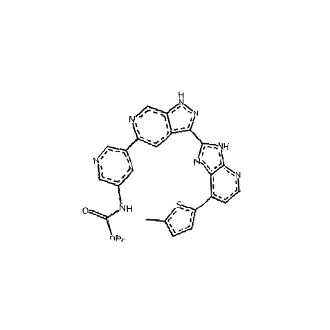 CCCC(=O)Nc1cncc(-c2cc3c(-c4nc5c(-c6ccc(C)s6)ccnc5[nH]4)n[nH]c3cn2)c1